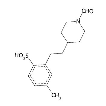 Cc1ccc(S(=O)(=O)O)c(CCC2CCN(C=O)CC2)c1